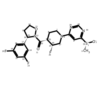 C[S@@+]([O-])c1cc(N2CC[C@@H](C(=O)N3OCC[C@H]3c3cc(F)cc(F)c3)[C@@H](F)C2)ncn1